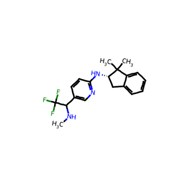 CNC(c1ccc(N[C@H]2Cc3ccccc3C2(C)C)nc1)C(F)(F)F